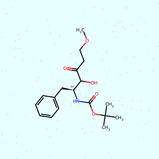 COCCC(=O)C(O)[C@H](Cc1ccccc1)NC(=O)OC(C)(C)C